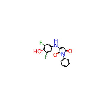 O=C1C=C(Nc2cc(F)c(O)c(F)c2)C(=O)N1c1ccccc1